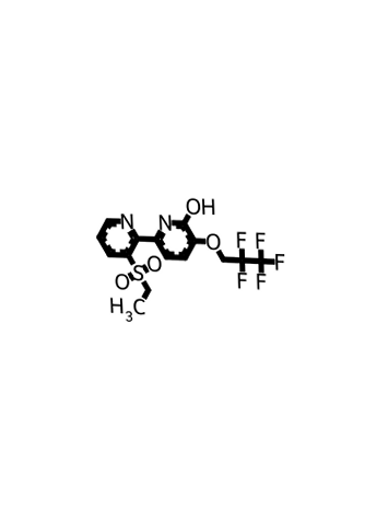 CCS(=O)(=O)c1cccnc1-c1ccc(OCC(F)(F)C(F)(F)F)c(O)n1